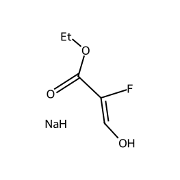 CCOC(=O)C(F)=CO.[NaH]